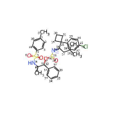 Cc1ccc(S(=O)(=O)N[C@H](C)[C@@H](O[S@](=O)/N=C(\CC(C)C)C2(c3ccc(Cl)cc3)CCC2)c2ccccc2)cc1